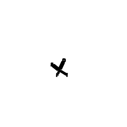 O=S(F)(=S)I